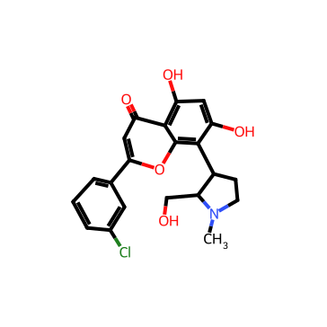 CN1CCC(c2c(O)cc(O)c3c(=O)cc(-c4cccc(Cl)c4)oc23)C1CO